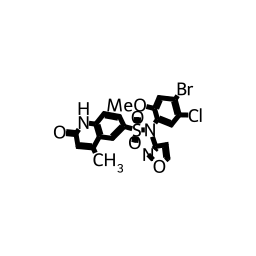 COc1cc(Br)c(Cl)cc1N(c1ccon1)S(=O)(=O)c1ccc2[nH]c(=O)cc(C)c2c1